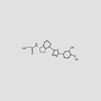 CC(C)Oc1ccc(-c2nnc(-c3cccc4c3CC[C@@H]4NC(=O)CO)s2)cc1C#N